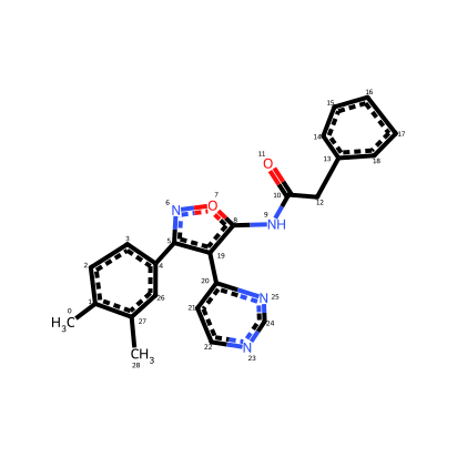 Cc1ccc(-c2noc(NC(=O)Cc3ccccc3)c2-c2ccncn2)cc1C